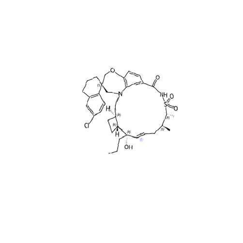 CCC[C@]1(O)/C=C/C[C@H](C)[C@@H](C)S(=O)(=O)NC(=O)c2ccc3c(c2)N(C[C@@H]2CC[C@H]21)C[C@@]1(CCCc2cc(Cl)ccc21)CO3